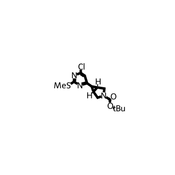 CSc1nc(Cl)cc(C2[C@H]3CN(C(=O)OC(C)(C)C)C[C@@H]23)n1